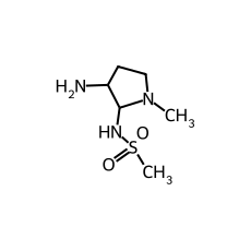 CN1CCC(N)C1NS(C)(=O)=O